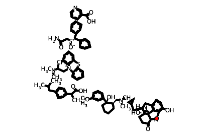 CC(C)Cc1ccc(C(C)C(=O)O)cc1.CC(CN1c2ccccc2Sc2ccccc21)N(C)C.COc1cccc([C@@]2(O)CCCC[C@@H]2CN(C)C)c1.NC(=O)C[S+]([O-])C(c1ccccc1)c1ccccc1.O=C(O)c1cccnc1.O=C1CC[C@@]2(O)[C@H]3Cc4ccc(O)c5c4[C@@]2(CCN3CC2CC2)[C@H]1O5